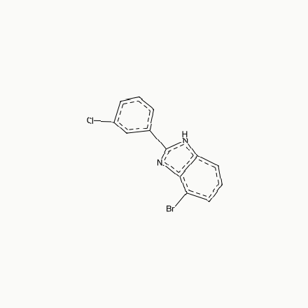 Clc1cccc(-c2nc3c(Br)cccc3[nH]2)c1